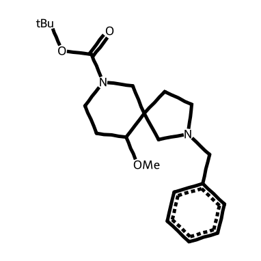 COC1CCN(C(=O)OC(C)(C)C)CC12CCN(Cc1ccccc1)C2